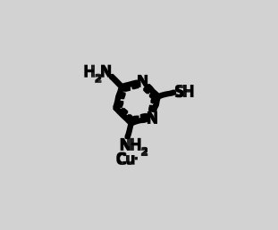 Nc1cc(N)nc(S)n1.[Cu]